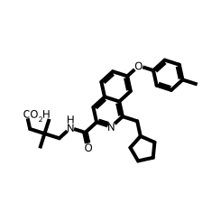 Cc1ccc(Oc2ccc3cc(C(=O)NCC(C)(C)CC(=O)O)nc(CC4CCCC4)c3c2)cc1